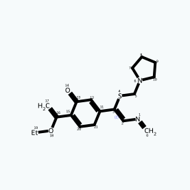 C=N/C=C(\SCN1CCCC1)C1=CC(=O)C(C(=C)OCC)=CC1